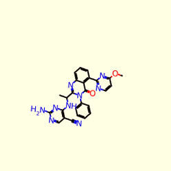 COc1ccnc(-c2cccc3nc(C(C)Nc4nc(N)ncc4C#N)n(-c4ccccc4)c(=O)c23)n1